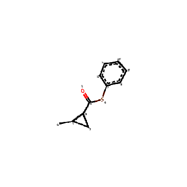 C[C@@H]1CC1C(=O)Sc1ccccc1